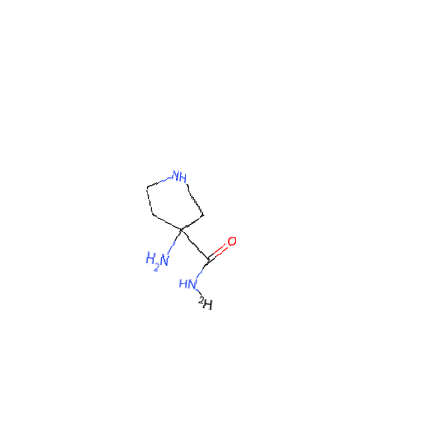 [2H]NC(=O)C1(N)CCNCC1